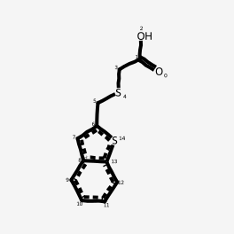 O=C(O)CSCc1cc2ccccc2s1